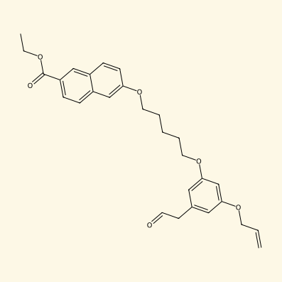 C=CCOc1cc(CC=O)cc(OCCCCCOc2ccc3cc(C(=O)OCC)ccc3c2)c1